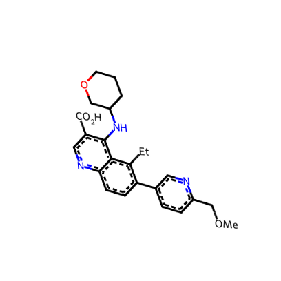 CCc1c(-c2ccc(COC)nc2)ccc2ncc(C(=O)O)c(NC3CCCOC3)c12